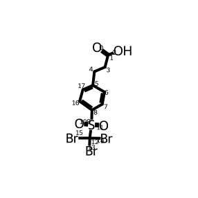 O=C(O)CCc1ccc(S(=O)(=O)C(Br)(Br)Br)cc1